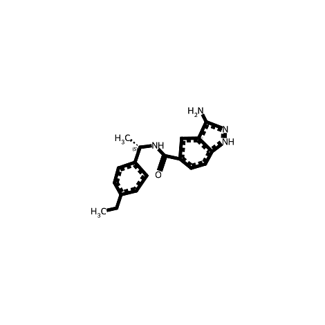 CCc1ccc([C@H](C)NC(=O)c2ccc3[nH]nc(N)c3c2)cc1